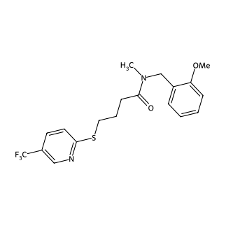 COc1ccccc1CN(C)C(=O)CCCSc1ccc(C(F)(F)F)cn1